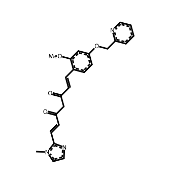 COc1cc(OCc2ccccn2)ccc1C=CC(=O)CC(=O)C=Cc1nccn1C